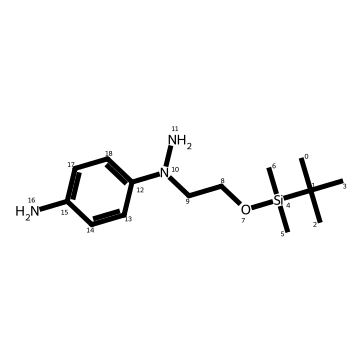 CC(C)(C)[Si](C)(C)OCCN(N)c1ccc(N)cc1